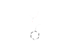 COC(C)O[SiH](C)c1ccccc1